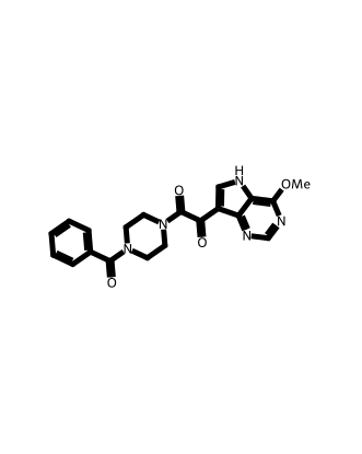 COc1ncnc2c(C(=O)C(=O)N3CCN(C(=O)c4ccccc4)CC3)c[nH]c12